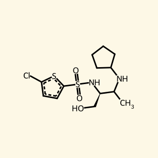 CC(NC1CCCC1)[C@@H](CO)NS(=O)(=O)c1ccc(Cl)s1